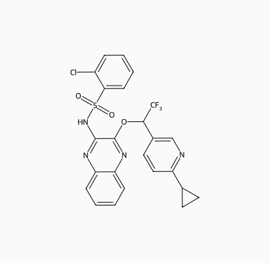 O=S(=O)(Nc1nc2ccccc2nc1OC(c1ccc(C2CC2)nc1)C(F)(F)F)c1ccccc1Cl